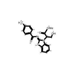 COC(=O)C(CO)n1/c(=N/C(=O)c2ccc(C)cc2)sc2ccccc21